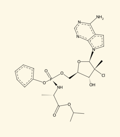 CC(C)OC(=O)[C@H](C)N[P@@](=O)(OC[C@H]1O[C@@H](n2ccc3c(N)ncnc32)[C@](C)(Cl)[C@@H]1O)Oc1ccccc1